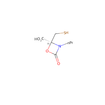 CCCN1C(=O)O[C@]1(CS)C(=O)O